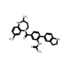 CC(=O)Nc1cc(C(=O)N2CCC(C)Nc3ccc(N)cc32)ccc1-c1ccc2c(c1)CCN2